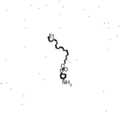 CC/C=C\C/C=C\C/C=C\C/C=C\C/C=C\CCCCOC(=O)Oc1ccc(N)cc1